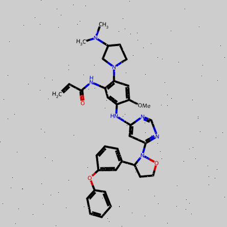 C=CC(=O)Nc1cc(Nc2cc(N3OCCC3c3cccc(Oc4ccccc4)c3)ncn2)c(OC)cc1N1CCC(N(C)C)C1